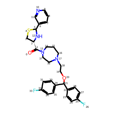 O=C([C@@H]1CSC(c2cccnc2)N1)N1CCCN(CCOC(c2ccc(F)cc2)c2ccc(F)cc2)CC1